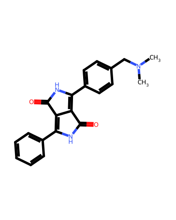 CN(C)Cc1ccc(C2=C3C(=O)NC(c4ccccc4)=C3C(=O)N2)cc1